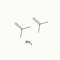 C=C(C)C.C=C(C)C.P